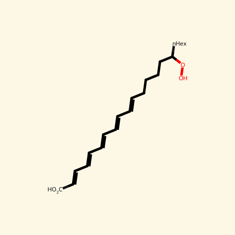 CCCCCCC(CCCCC=CC=CC=CC=CC=CC(=O)O)OO